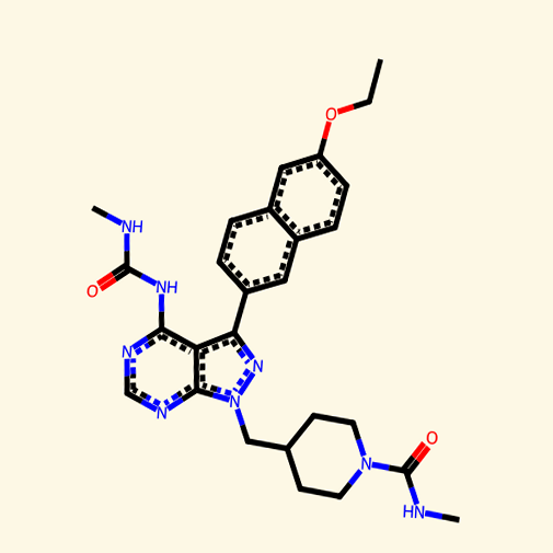 CCOc1ccc2cc(-c3nn(CC4CCN(C(=O)NC)CC4)c4ncnc(NC(=O)NC)c34)ccc2c1